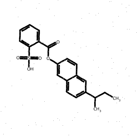 CCC(C)c1ccc2cc(OC(=O)c3ccccc3S(=O)(=O)O)ccc2c1